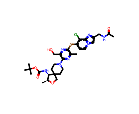 CC(=O)NCc1cn2ccc(Sc3nc(CO)c(N4CCC5(CC4)CO[C@@H](C)[C@H]5NC(=O)OC(C)(C)C)nc3C)c(Cl)c2n1